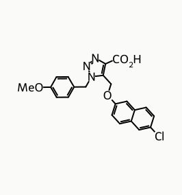 COc1ccc(Cn2nnc(C(=O)O)c2COc2ccc3cc(Cl)ccc3c2)cc1